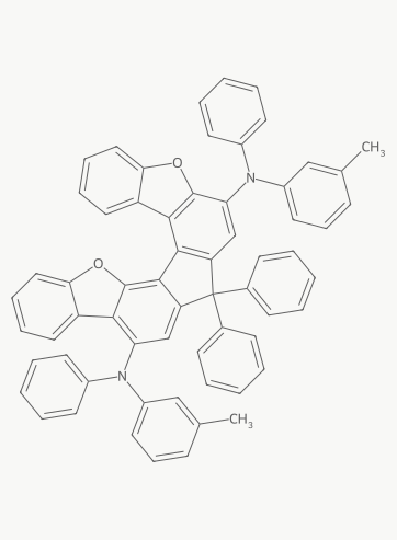 Cc1cccc(N(c2ccccc2)c2cc3c(c4c2oc2ccccc24)-c2c(cc(N(c4ccccc4)c4cccc(C)c4)c4c2oc2ccccc24)C3(c2ccccc2)c2ccccc2)c1